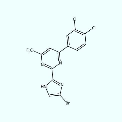 FC(F)(F)c1cc(-c2ccc(Cl)c(Cl)c2)nc(-c2nc(Br)c[nH]2)n1